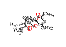 COC1CC(OC)C(OC2C[C@H](OC)C(C)C(C)O2)C(C)O1